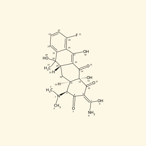 CN(C)[C@@H]1C(=O)/C(=C(\N)O)C(=O)[C@]2(O)C(=O)C3=C(O)c4c(F)cccc4C(C)(O)[C@H]3C[C@H]12